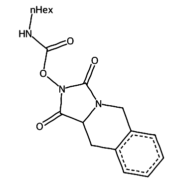 CCCCCCNC(=O)ON1C(=O)C2Cc3ccccc3CN2C1=O